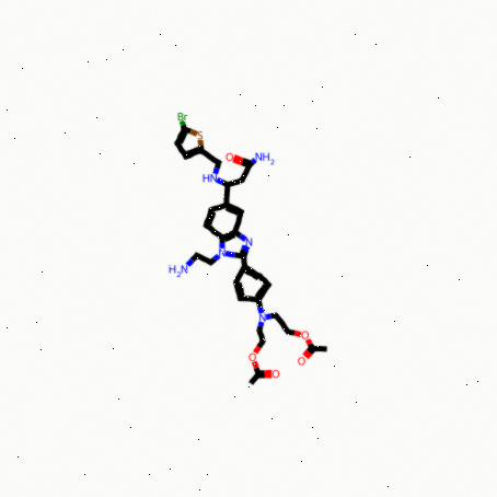 CC(=O)OCCN(CCOC(C)=O)c1ccc(-c2nc3cc(C(CC(N)=O)NCc4ccc(Br)s4)ccc3n2CCN)cc1